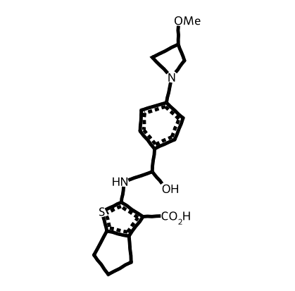 COC1CN(c2ccc(C(O)Nc3sc4c(c3C(=O)O)CCC4)cc2)C1